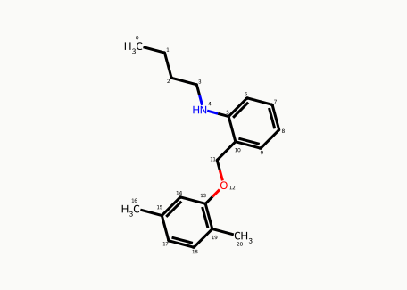 CCCCNc1ccccc1COc1cc(C)ccc1C